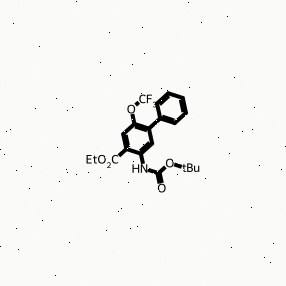 CCOC(=O)c1cc(OC(F)(F)F)c(-c2ccccc2)cc1NC(=O)OC(C)(C)C